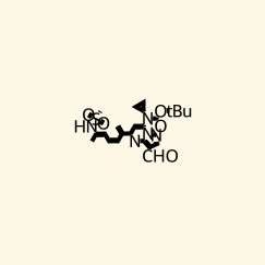 C=C(/C=C\C=C(/C)NS(C)(=O)=O)c1cc(N(C(=O)OC(C)(C)C)C2CC2)n2ncc(C=O)c2n1